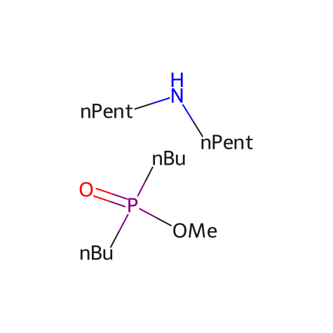 CCCCCNCCCCC.CCCCP(=O)(CCCC)OC